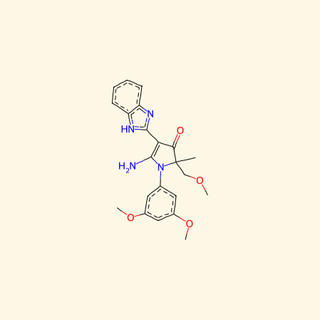 COCC1(C)C(=O)C(c2nc3ccccc3[nH]2)=C(N)N1c1cc(OC)cc(OC)c1